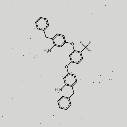 Nc1cc(Oc2ccc(C(F)(F)F)c(Oc3ccc(Cc4ccccc4)c(N)c3)c2)ccc1Cc1ccccc1